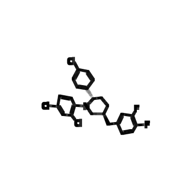 Fc1ccc(C[C@@H]2CC[C@@H](c3ccc(Cl)cc3)N(c3ccc(Cl)cc3Cl)C2)cc1F